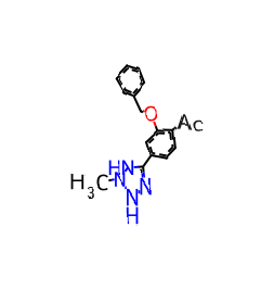 CC(=O)c1ccc(C2=NNN(C)N2)cc1OCc1ccccc1